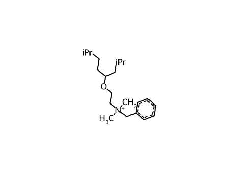 CC(C)CCC(CC(C)C)OCC[N+](C)(C)Cc1ccccc1